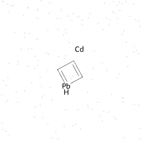 C1=[CH][PbH]=[CH]1.[Cd]